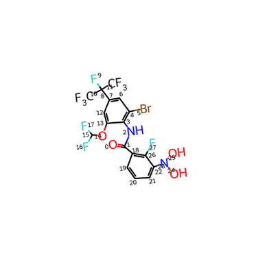 O=C(Nc1c(Br)cc(C(F)(C(F)(F)F)C(F)(F)F)cc1OC(F)F)c1cccc(N(O)O)c1F